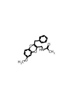 COc1ccc2c(c1)OC(CNC(C)=O)=C(Cc1ccccc1)O2